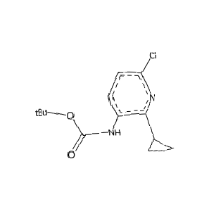 CC(C)(C)OC(=O)Nc1ccc(Cl)nc1C1CC1